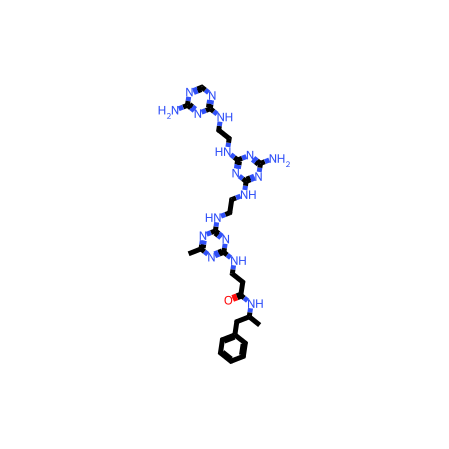 Cc1nc(NCCNc2nc(N)nc(NCCNc3ncnc(N)n3)n2)nc(NCCC(=O)NC(C)Cc2ccccc2)n1